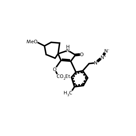 CCOC(=O)OC1=C(c2cc(C)ccc2CN=[N+]=[N-])C(=O)NC12CCC(OC)CC2